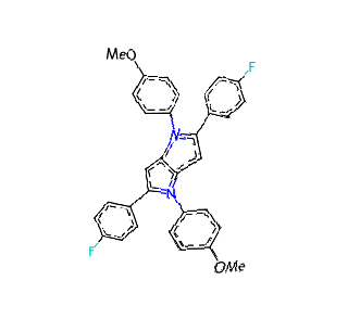 COc1ccc(-n2c(-c3ccc(F)cc3)cc3c2cc(-c2ccc(F)cc2)n3-c2ccc(OC)cc2)cc1